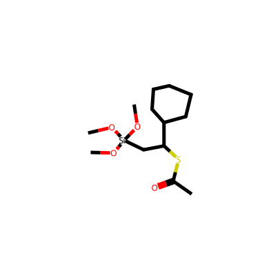 CO[Si](CC(SC(C)=O)C1CCCCC1)(OC)OC